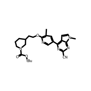 Cc1cc(-c2nc(C#N)nc3c2ccn3C)cnc1OCCC1CCCN(C(=O)OC(C)(C)C)C1